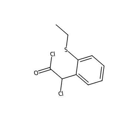 CCSc1ccccc1C(Cl)C(=O)Cl